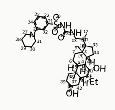 CC[C@H]1[C@@H](O)[C@@H]2[C@H](CC[C@]3(C)[C@@H]([C@H](C)CNC(=O)NS(=O)(=O)c4cccc(N5CCCCC5)c4)CC[C@@H]23)C2(C)CC[C@@H](O)C[C@@H]12